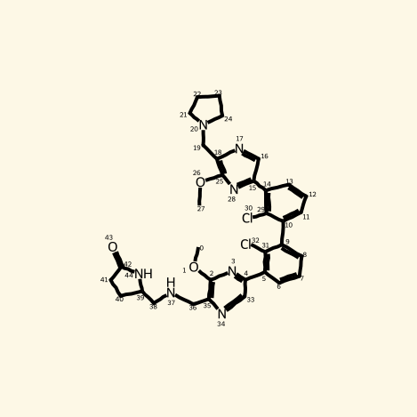 COc1nc(-c2cccc(-c3cccc(-c4cnc(CN5CCCC5)c(OC)n4)c3Cl)c2Cl)cnc1CNCC1CCC(=O)N1